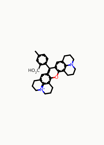 Cc1ccc(C2=c3cc4c5c(c3Oc3c2cc2c6c3CCCN6CCC2)CCC[N+]=5CCC4)c(C(=O)O)c1